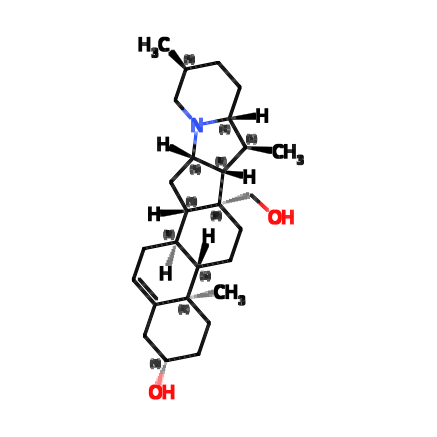 C[C@H]1CC[C@@H]2[C@@H](C)[C@H]3[C@H](C[C@H]4[C@@H]5CC=C6C[C@@H](O)CC[C@]6(C)[C@H]5CC[C@]34CO)N2C1